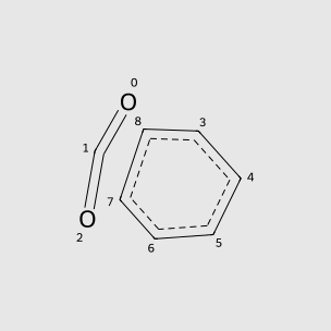 O=C=O.c1ccccc1